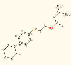 CC(CC(C(C)(C)C)C(C)(C)C)OCCOc1ccc(C2CCCCC2)cc1